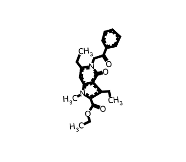 CCOC(=O)c1c(CC)c2c(=O)n(CC(=O)c3ccccc3)c(CC)cc2n1C